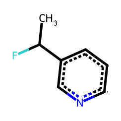 CC(F)c1cc[c]nc1